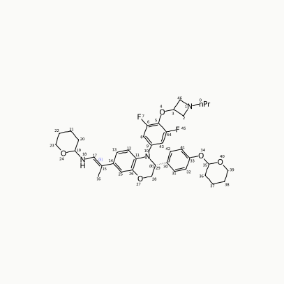 CCCN1CC(Oc2c(F)cc(N3c4ccc(/C(C)=C/NC5CCCCO5)cc4OC[C@H]3c3ccc(OC4CCCCO4)cc3)cc2F)C1